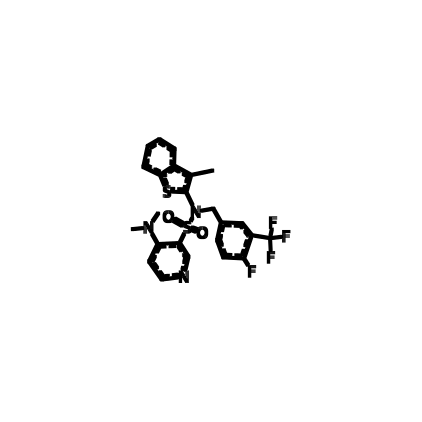 Cc1c(N(Cc2ccc(F)c(C(F)(F)F)c2)S(=O)(=O)c2cnccc2N(C)C)sc2ccccc12